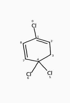 ClC1=CCC(Cl)(Cl)C=C1